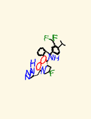 CC(C)c1ccc([C@@H](NC(=O)[C@@H]2C[C@@H](F)CN2C(=O)Cc2cnn[nH]2)c2ccccc2)cc1C(F)F